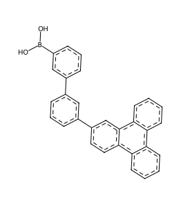 OB(O)c1cccc(-c2cccc(-c3ccc4c5ccccc5c5ccccc5c4c3)c2)c1